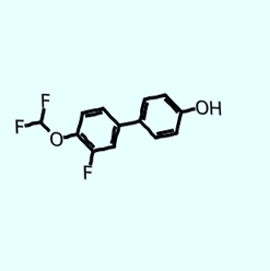 Oc1ccc(-c2ccc(OC(F)F)c(F)c2)cc1